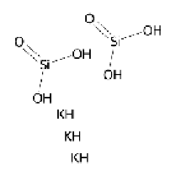 O=[Si](O)O.O=[Si](O)O.[KH].[KH].[KH]